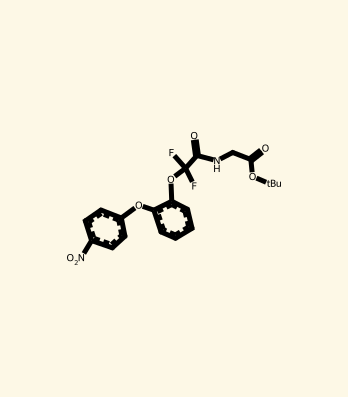 CC(C)(C)OC(=O)CNC(=O)C(F)(F)Oc1ccccc1Oc1ccc([N+](=O)[O-])cc1